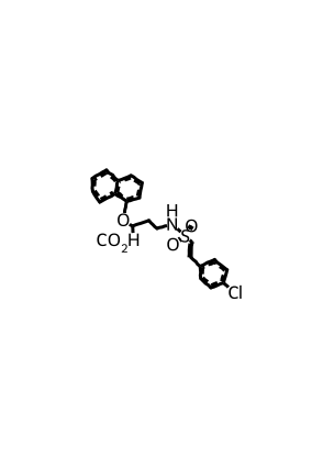 O=C(O)C(CCNS(=O)(=O)C=Cc1ccc(Cl)cc1)Oc1cccc2ccccc12